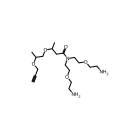 C#CCOC(C)COC(C)CC(=O)N(CCOCCN)CCOCCN